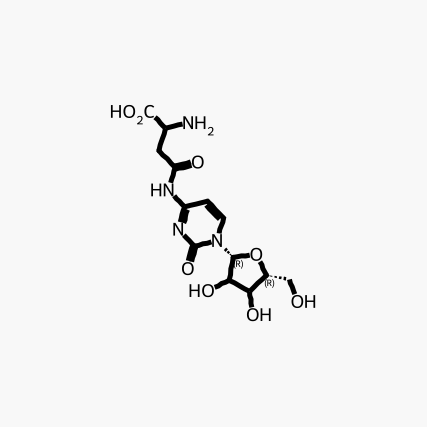 NC(CC(=O)Nc1ccn([C@@H]2O[C@H](CO)C(O)C2O)c(=O)n1)C(=O)O